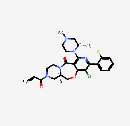 C=CC(=O)N1CCN2C(=O)c3c(N4CCN(C(F)(F)F)C[C@@H]4C)nc(-c4ccccc4F)c(Cl)c3OC[C@H]2C1